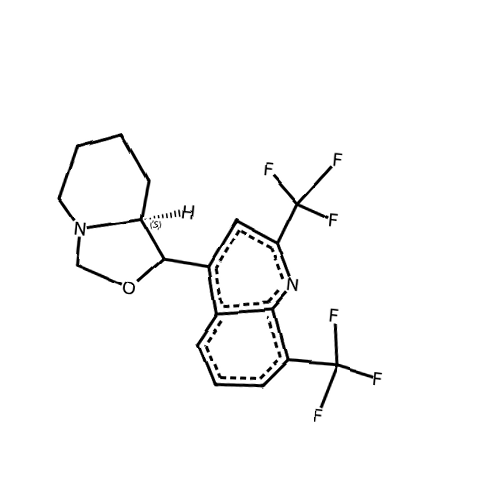 FC(F)(F)c1cc(C2OCN3CCCC[C@@H]23)c2cccc(C(F)(F)F)c2n1